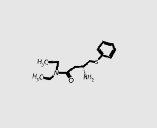 CCN(CC)C(=O)C[C@@H](N)CSc1ccccc1